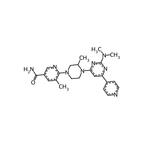 Cc1cc(C(N)=O)cnc1N1CCN(c2cc(-c3ccncc3)nc(N(C)C)n2)C(C)C1